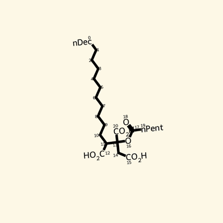 CCCCCCCCCCCCCCCCCCCCC(C(=O)O)C(CC(=O)O)(OC(=O)CCCCC)C(=O)O